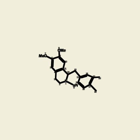 CCCN1CCc2cc(OC)c(OC)cc2C1Cc1ccc(C)c(C)c1